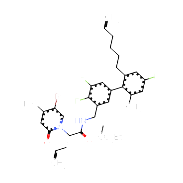 C=CCCCCc1cc(F)cc(C)c1-c1cc(F)c(F)c([C@H](CC(=O)OCC)NC(=O)[C@H](CC=C)n2cc(Br)c(C(F)(F)F)cc2=O)c1